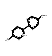 CCCCCCc1ccc(-c2ccc(O)cn2)cc1